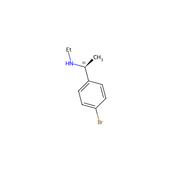 CCN[C@@H](C)c1ccc(Br)cc1